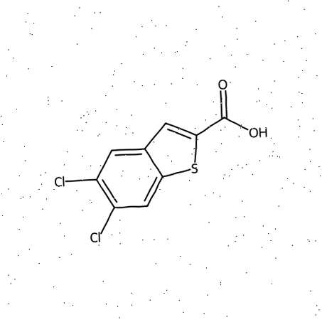 O=C(O)c1cc2cc(Cl)c(Cl)cc2s1